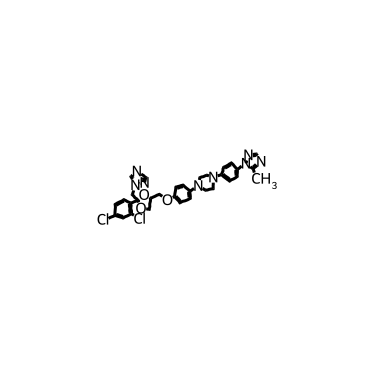 Cc1ncnn1-c1ccc(N2CCN(c3ccc(OCC4COC(Cn5cncn5)(c5ccc(Cl)cc5Cl)O4)cc3)CC2)cc1